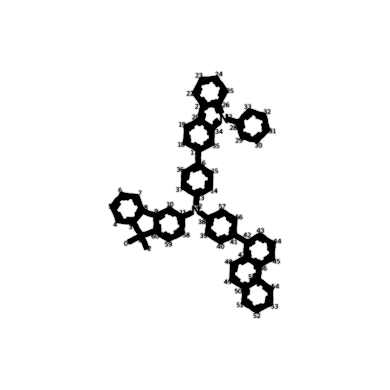 CC1(C)c2ccccc2-c2cc(N(c3ccc(-c4ccc5c6ccccc6n(-c6ccccc6)c5c4)cc3)c3ccc(-c4cccc5c4ccc4ccccc45)cc3)ccc21